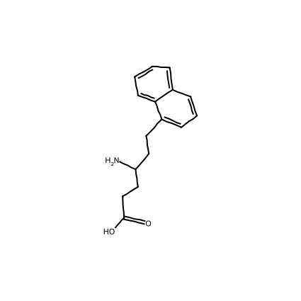 NC(CCC(=O)O)CCc1cccc2ccccc12